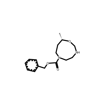 C[C@H]1CCN(C(=O)OCc2ccccc2)CCNCO1